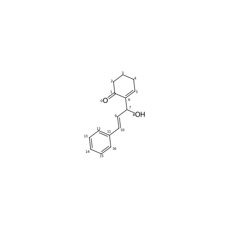 O=C1CCCC=C1C(O)C=Cc1ccccc1